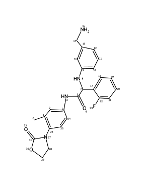 Cc1cc(NC(=O)C(Nc2cccc(CN)c2)c2ccccc2F)ccc1N1CCOC1=O